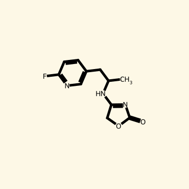 CC(Cc1ccc(F)nc1)NC1=NC(=O)OC1